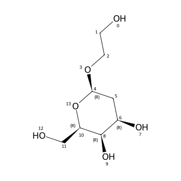 OCCO[C@H]1C[C@@H](O)[C@@H](O)[C@@H](CO)O1